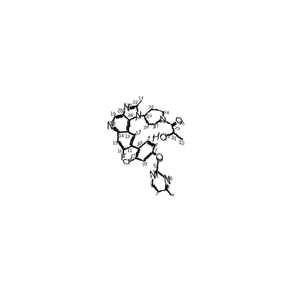 Cc1ccnc(Oc2ccc(-c3cc4c(cc3F)ncc3nc(C)n(C5CCN(C(=O)C(C)O)CC5)c34)c(Cl)c2)n1